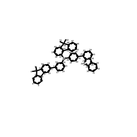 CC1(C)c2ccccc2-c2cc(-c3cccc(N(c4ccc(-c5cccc6c5sc5ccccc56)cc4)c4cccc5c4-c4ccccc4C5(C)C)c3)ccc21